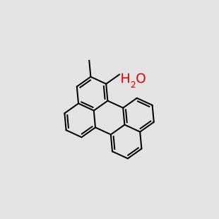 Cc1cc2cccc3c4cccc5cccc(c(c1C)c23)c54.O